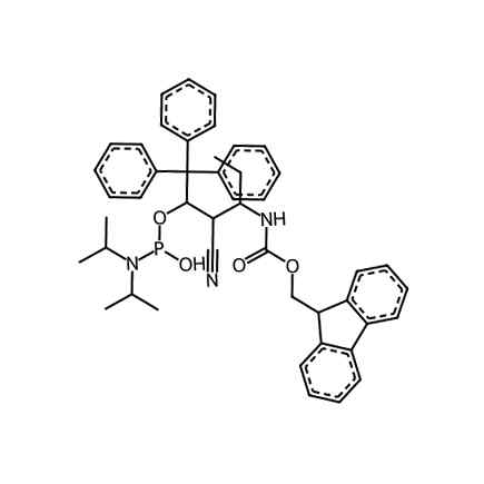 CCC(NC(=O)OCC1c2ccccc2-c2ccccc21)C(C#N)C(OP(O)N(C(C)C)C(C)C)C(c1ccccc1)(c1ccccc1)c1ccccc1